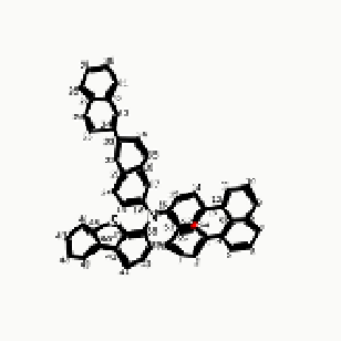 c1ccc(-c2cccc3cccc(-c4ccc(N(c5ccc6cc(-c7ccc8ccccc8c7)ccc6c5)c5cccc6c5sc5ccccc56)cc4)c23)cc1